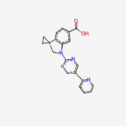 O=C(O)c1ccc2c(c1)N(c1ncc(-c3ccccn3)cn1)CC21CC1